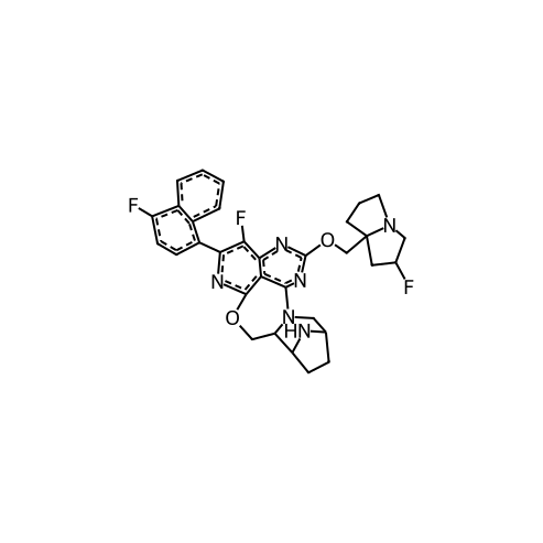 Fc1ccc(-c2nc3c4c(nc(OCC56CCCN5CC(F)C6)nc4c2F)N2CC4CCC(N4)C2CO3)c2ccccc12